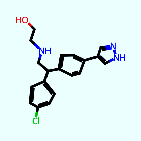 OCCNCC(c1ccc(Cl)cc1)c1ccc(-c2cn[nH]c2)cc1